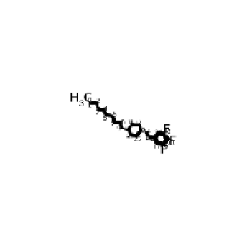 CCCCCCCCCC[C@H]1CC[C@H](CCc2cc(F)c(F)c(F)c2)CC1